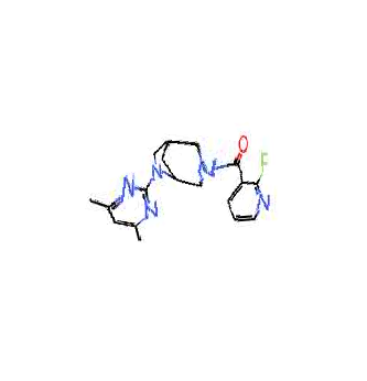 Cc1cc(C)nc(N2CC3CC2CN(C(=O)c2cccnc2F)C3)n1